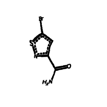 NC(=O)c1cc(Br)sn1